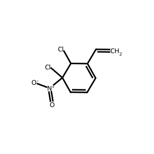 C=CC1=CC=CC(Cl)([N+](=O)[O-])C1Cl